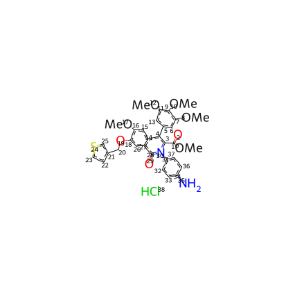 COC(=O)c1c(-c2cc(OC)c(OC)c(OC)c2)c2cc(OC)c(OCc3ccsc3)cc2c(=O)n1-c1ccc(N)cc1.Cl